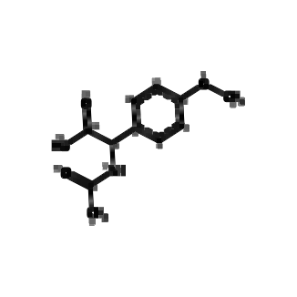 COc1ccc(C(NC(C)=O)C(=O)O)cc1